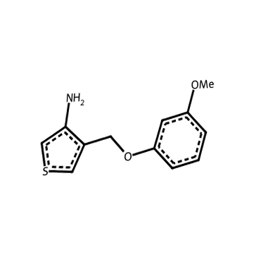 COc1cccc(OCc2cscc2N)c1